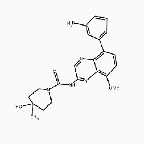 COc1ccc(-c2cccc(N)c2)c2ncc(NC(=O)N3CCC(C)(O)CC3)nc12